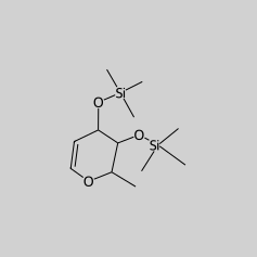 CC1OC=CC(O[Si](C)(C)C)C1O[Si](C)(C)C